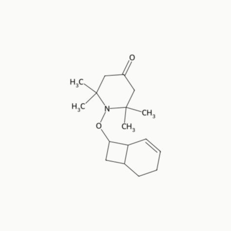 CC1(C)CC(=O)CC(C)(C)N1OC1CC2CCC=CC21